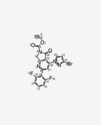 CC(C)(C)OC(=O)N1Cc2nc(-c3c(F)cccc3F)cc(-n3ccc(Br)n3)c2C1=O